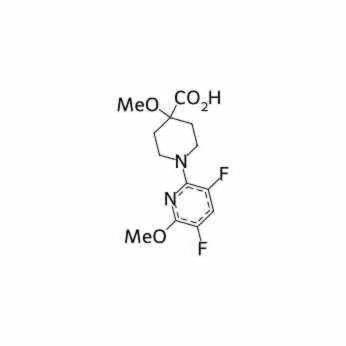 COc1nc(N2CCC(OC)(C(=O)O)CC2)c(F)cc1F